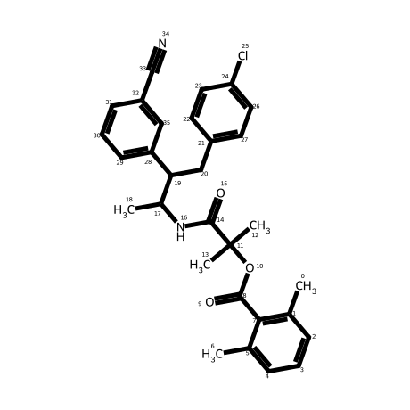 Cc1cccc(C)c1C(=O)OC(C)(C)C(=O)NC(C)C(Cc1ccc(Cl)cc1)c1cccc(C#N)c1